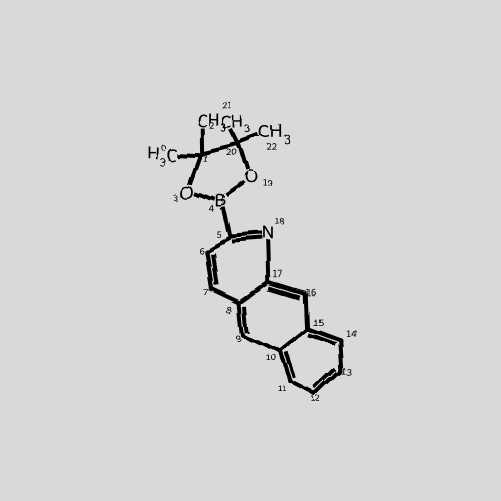 CC1(C)OB(c2ccc3cc4ccccc4cc3n2)OC1(C)C